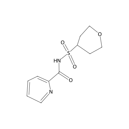 O=C(NS(=O)(=O)C1CCOCC1)c1ccccn1